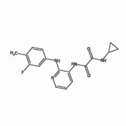 Cc1ccc(Nc2ncccc2NC(=O)C(=O)NC2CC2)cc1F